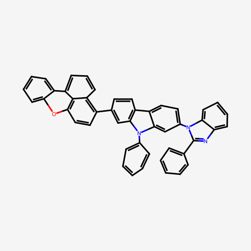 c1ccc(-c2nc3ccccc3n2-c2ccc3c4ccc(-c5ccc6c7c(cccc57)-c5ccccc5O6)cc4n(-c4ccccc4)c3c2)cc1